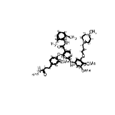 CCCNC(=O)CCc1ccc(Oc2nc(Nc3cc(OC)c(OC)c(OCCCN4CCN(C)CC4)c3)ncc2C(=O)Nc2c(C)cccc2C)c(OC)c1